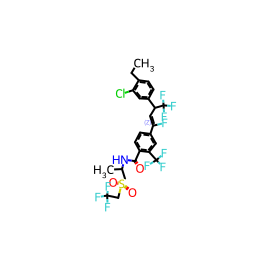 CCc1ccc(C(/C=C(\F)c2ccc(C(=O)NC(C)CS(=O)(=O)CC(F)(F)F)c(C(F)(F)F)c2)C(F)(F)F)cc1Cl